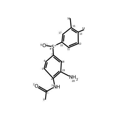 CC(=O)Nc1ccc([S+]([O-])c2ccc(C)c(C)c2)cc1N